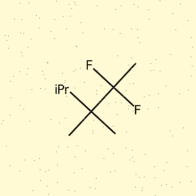 CC(C)C(C)(C)C(C)(F)F